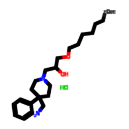 CCCCCCCCCCCCCCCCOCC(O)CN1CCC(CN)(c2ccccc2)CC1.Cl